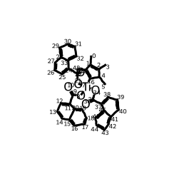 CC1=C(C)C(C)[C]([Ti]([O]C(=O)c2cccc3ccccc23)([O]C(=O)c2cccc3ccccc23)[O]C(=O)c2cccc3ccccc23)=C1C